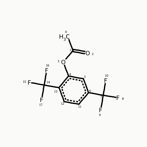 CC(=O)Oc1cc(C(F)(F)F)ccc1C(F)(F)F